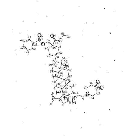 C=C(C)C1CC[C@]2(NCCN3CCS(=O)(=O)CC3)CC[C@]3(C)[C@H](CC[C@@H]4[C@@]5(C)CC=C(C6=CC[C@@](COC(=O)c7ccccc7)(C(=O)OCC)CC6)C(C)(C)[C@@H]5CC[C@]43C)[C@@H]12